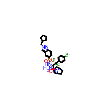 NC1CC2CCC(C1)N2C(=O)[C@@H](NS(=O)(=O)c1ccc2nn(CC3CCCC3)cc2c1)C(F)(F)c1ccc(Br)cc1